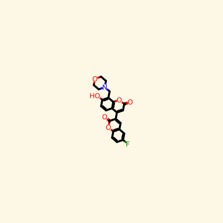 O=c1cc(-c2cc3cc(F)ccc3oc2=O)c2ccc(O)c(CN3CCOCC3)c2o1